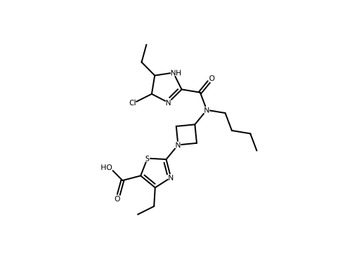 CCCCN(C(=O)C1=NC(Cl)C(CC)N1)C1CN(c2nc(CC)c(C(=O)O)s2)C1